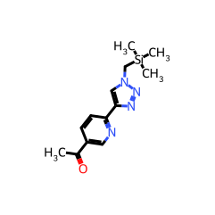 CC(=O)c1ccc(-c2cn(C[Si](C)(C)C)nn2)nc1